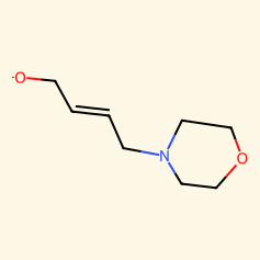 [O]CC=CCN1CCOCC1